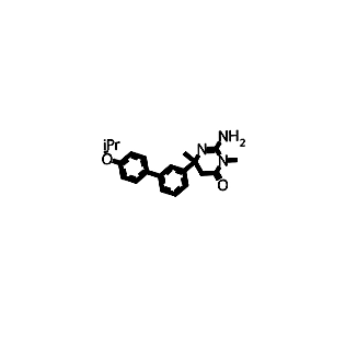 CC(C)Oc1ccc(-c2cccc(C3(C)CC(=O)N(C)C(N)=N3)c2)cc1